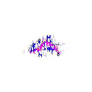 CC[C@H](C)[C@H](NC(=O)CN)C(=O)N[C@@H](Cc1c[nH]c2ccccc12)C(=O)N[C@@H](CCCCN)C(=O)N[C@@H](CCCCN)C(=O)N[C@H](C(=O)N[C@@H](Cc1c[nH]c2ccccc12)C(=O)N[C@@H](CCCCN)C(=O)N[C@@H](CCCCN)C(=O)N[C@H](C(=O)N[C@@H](Cc1c[nH]c2ccccc12)C(=O)N[C@@H](CCCCN)C(=O)N[C@@H](CCCCN)C(=O)N[C@@H](Cc1c[nH]c2ccccc12)C(=O)O)[C@@H](C)CC)[C@@H](C)CC